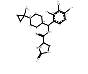 O=C1NCC(C(=O)NC(c2ccc(F)c(Cl)c2F)C2CCN(C3(C(F)(F)F)CC3)CC2)N1